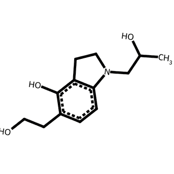 CC(O)CN1CCc2c1ccc(CCO)c2O